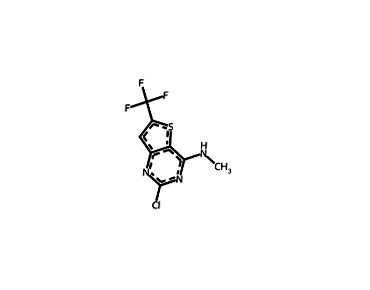 CNc1nc(Cl)nc2cc(C(F)(F)F)sc12